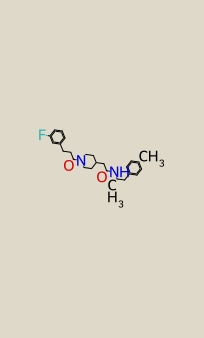 Cc1ccc(CC(C)NC(=O)CC2CCN(C(=O)CCc3cccc(F)c3)CC2)cc1